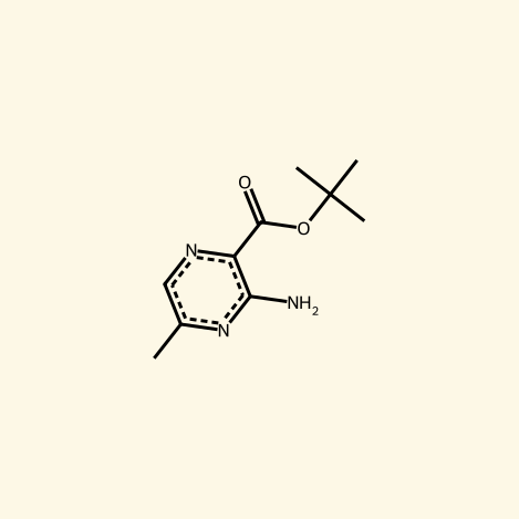 Cc1cnc(C(=O)OC(C)(C)C)c(N)n1